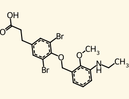 CCNc1cccc(COc2c(Br)cc(CCC(=O)O)cc2Br)c1OC